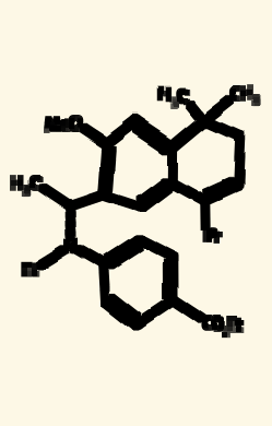 CCOC(=O)c1ccc(N(CC)C(C)c2cc3c(cc2OC)C(C)(C)CC=C3C(C)C)cc1